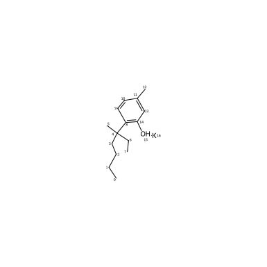 CCCCC(C)(CC)c1ccc(C)cc1O.[K]